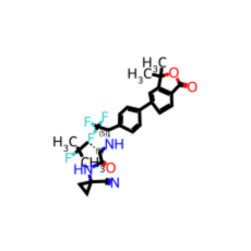 CC(C)(F)C[C@H](N[C@@H](c1ccc(-c2ccc3c(c2)C(C)(C)OC3=O)cc1)C(F)(F)F)C(=O)NC1(C#N)CC1